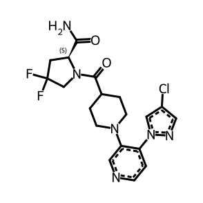 NC(=O)[C@@H]1CC(F)(F)CN1C(=O)C1CCN(c2cnccc2-n2cc(Cl)cn2)CC1